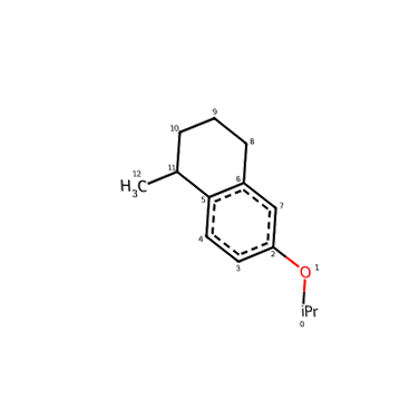 CC(C)Oc1ccc2c(c1)CCCC2C